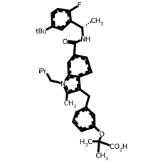 Cc1c(Cc2cccc(OC(C)(C)C(=O)O)c2)c2ccc(C(=O)N[C@@H](C)c3cc(C(C)(C)C)ccc3F)cc2n1CC(C)C